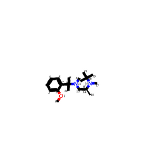 COc1ccccc1C(C)(C)N(C)C[C@H](C)N(C)C(C)(C)C